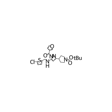 CC(C)(C)OC(=O)N1CCC(c2cc(NCc3ccc(Cl)s3)n(C(=O)c3ccoc3)n2)CC1